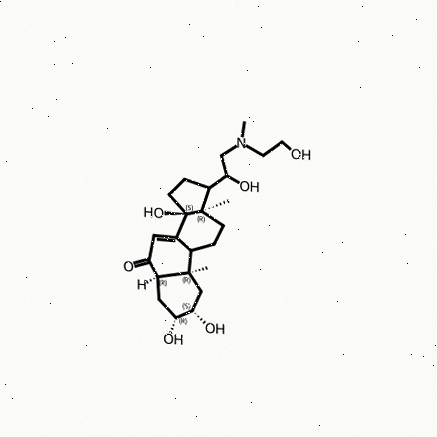 CN(CCO)CC(O)C1CC[C@@]2(O)C3=CC(=O)[C@@H]4C[C@@H](O)[C@@H](O)C[C@]4(C)C3CC[C@]12C